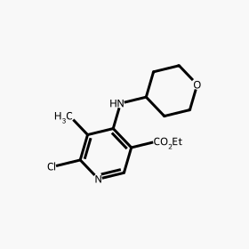 CCOC(=O)c1cnc(Cl)c(C)c1NC1CCOCC1